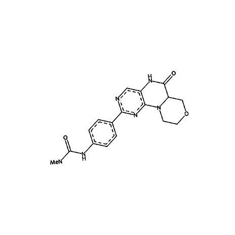 CNC(=O)Nc1ccc(-c2ncc3c(n2)N2CCOCC2C(=O)N3)cc1